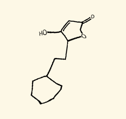 O=C1C=C(O)C(CCC2CCCCC2)O1